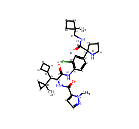 Cn1nccc1C(=O)N[C@H](C(=O)Nc1ccc(C2(C(=O)NCC3(C)CCC3)CCCN2)cc1F)C(C1CCC1)C1(C)CC1